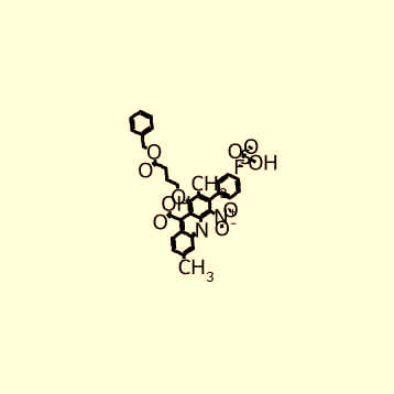 Cc1ccc2c(C(=O)O)c3c(OCCCC(=O)OCc4ccccc4)c(C)c(-c4ccccc4)c([N+](=O)[O-])c3nc2c1.O=S(=O)(O)F